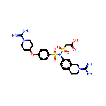 N=C(N)N1CCC(Oc2ccc(S(=O)(=O)N(c3ccc4c(c3)CN(C(=N)N)CC4)S(=O)(=O)CC(=O)O)cc2)CC1